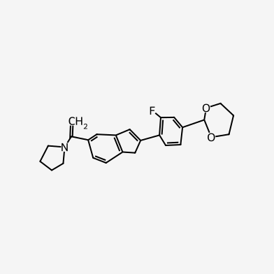 C=C(c1ccc2c(c1)C=C(c1ccc(C3OCCCO3)cc1F)C2)N1CCCC1